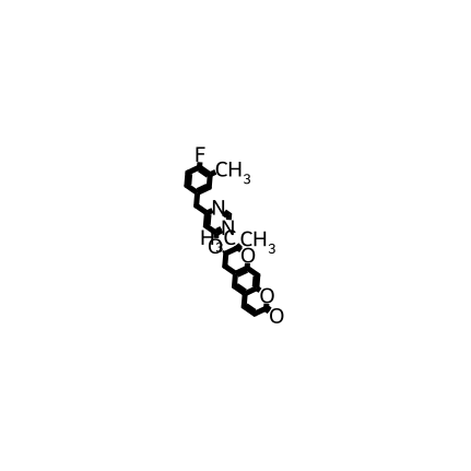 Cc1cc(Cc2cc(O[C@H]3Cc4cc5ccc(=O)oc5cc4OC3(C)C)ncn2)ccc1F